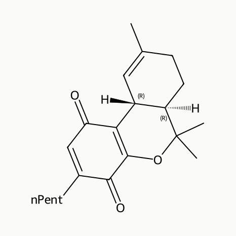 CCCCCC1=CC(=O)C2=C(OC(C)(C)[C@@H]3CCC(C)=C[C@@H]23)C1=O